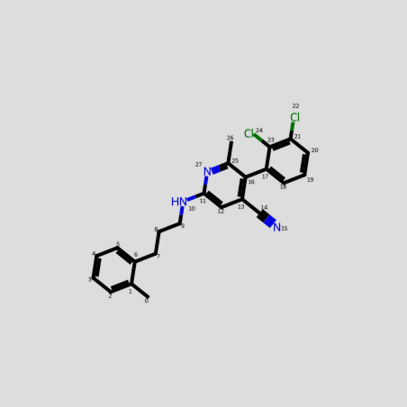 Cc1ccccc1CCCNc1cc(C#N)c(-c2cccc(Cl)c2Cl)c(C)n1